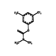 CN(C)C(=S)Oc1cc(C(F)(F)F)cc(C(F)(F)F)c1